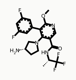 COc1ncc(C(=O)N[C@@H](C)C(F)(F)F)c(N2CC[C@H](N)C2)c1-c1cc(F)cc(F)c1